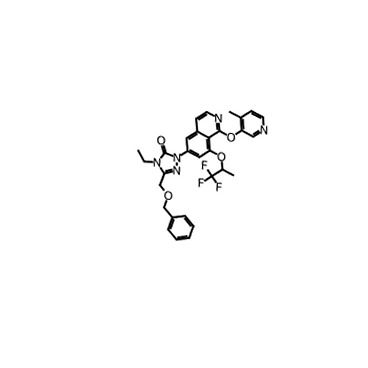 CCn1c(COCc2ccccc2)nn(-c2cc(OC(C)C(F)(F)F)c3c(Oc4cnccc4C)nccc3c2)c1=O